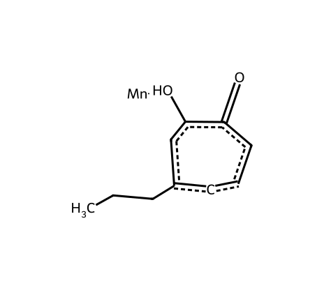 CCCc1cccc(=O)c(O)c1.[Mn]